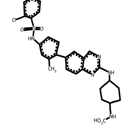 Cc1cc(NS(=O)(=O)c2ccccc2Cl)ccc1-c1ccc2nc(NC3CCC(NC(=O)O)CC3)ncc2c1